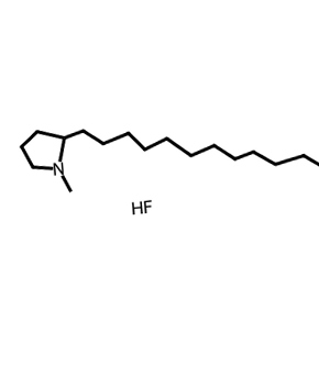 CCCCCCCCCCCCC1CCCN1C.F